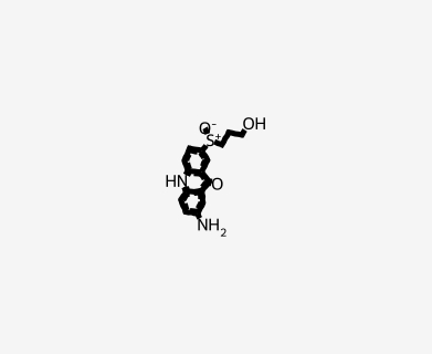 Nc1ccc2[nH]c3ccc([S+]([O-])CCCO)cc3c(=O)c2c1